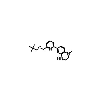 CN1CCNc2cc(-c3cccc(COCC(C)(C)C)n3)ccc21